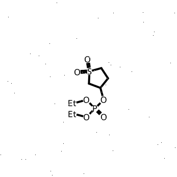 CCOP(=O)(OCC)OC1CCS(=O)(=O)C1